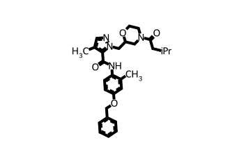 Cc1cc(OCc2ccccc2)ccc1NC(=O)c1c(C)cnn1CC1CN(C(=O)CC(C)C)CCO1